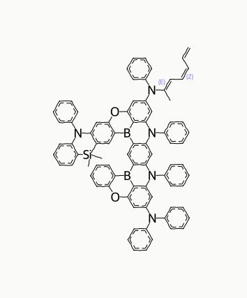 C=C/C=C\C=C(/C)N(c1ccccc1)c1cc2c3c(c1)N(c1ccccc1)c1cc4c(cc1B3c1cc3c(cc1O2)N(c1ccccc1)c1ccccc1[Si]3(C)C)B1c2ccccc2Oc2cc(N(c3ccccc3)c3ccccc3)cc(c21)N4c1ccccc1